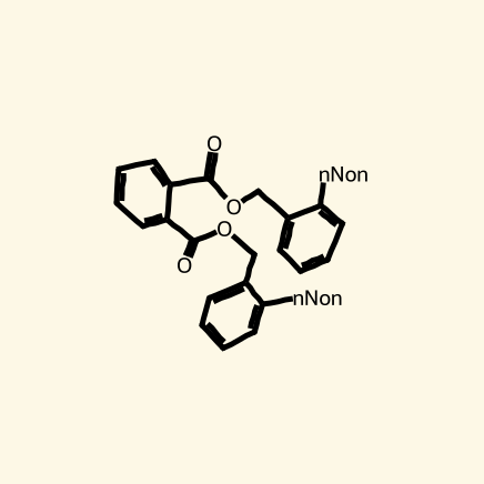 CCCCCCCCCc1ccccc1COC(=O)c1ccccc1C(=O)OCc1ccccc1CCCCCCCCC